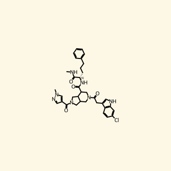 CNC(=O)[C@H](CCCc1ccccc1)NC(=O)C1CN(C(=O)Cc2c[nH]c3cc(Cl)ccc23)CC2CN(C(=O)c3cnn(C)c3)CC21